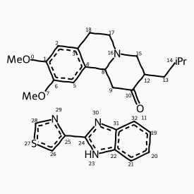 COc1cc2c(cc1OC)C1CC(=O)C(CC(C)C)CN1CC2.c1ccc2[nH]c(-c3cscn3)nc2c1